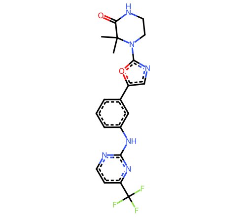 CC1(C)C(=O)NCCN1c1ncc(-c2cccc(Nc3nccc(C(F)(F)F)n3)c2)o1